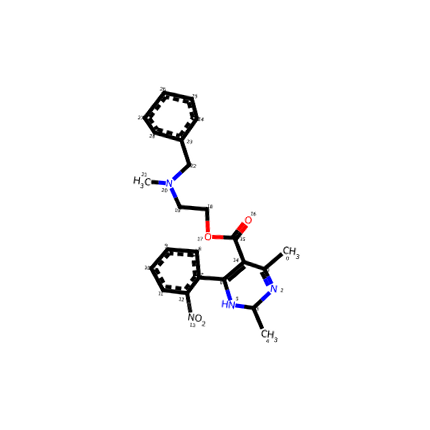 CC1=NC(C)NC(c2ccccc2[N+](=O)[O-])=C1C(=O)OCCN(C)Cc1ccccc1